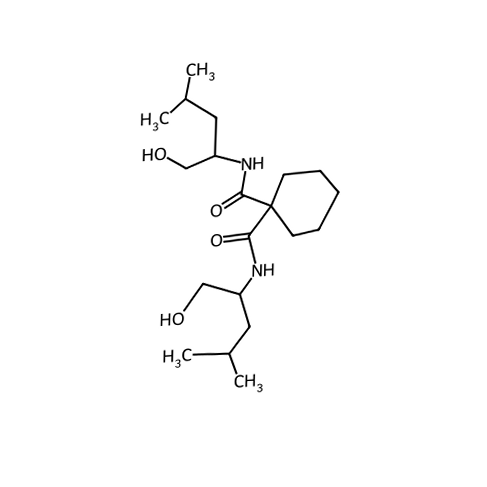 CC(C)CC(CO)NC(=O)C1(C(=O)NC(CO)CC(C)C)CCCCC1